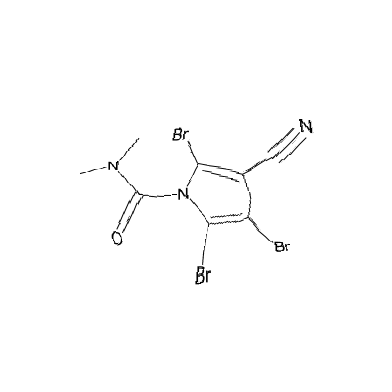 CN(C)C(=O)n1c(Br)c(Br)c(C#N)c1Br